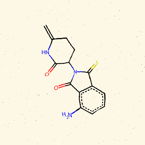 C=C1CCC(N2C(=O)c3c(N)cccc3C2=S)C(=O)N1